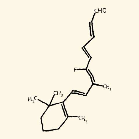 CC(C=CC1=C(C)CCCC1(C)C)=C(F)C=CC=CC=O